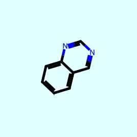 [c]1ccc2ncncc2c1